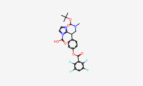 CN(CC(c1ccc(OC(=O)c2c(F)c(F)cc(F)c2F)cc1)c1nccn1C(=O)O)C(=O)OC(C)(C)C